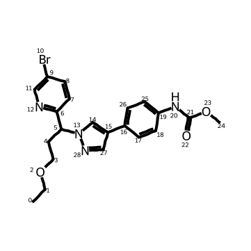 CCOCCC(c1ccc(Br)cn1)n1cc(-c2ccc(NC(=O)OC)cc2)cn1